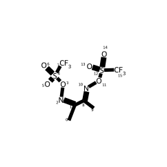 CC(=NOS(=O)(=O)C(F)(F)F)C(C)=NOS(=O)(=O)C(F)(F)F